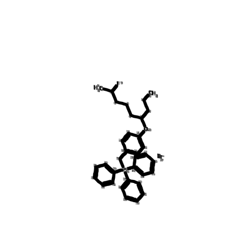 CCCC(CCCC(C)F)Oc1ccc(C[P+](c2ccccc2)(c2ccccc2)c2ccccc2)cc1.[Br-]